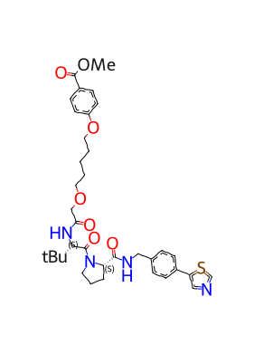 COC(=O)c1ccc(OCCCCCOCC(=O)N[C@H](C(=O)N2CCC[C@H]2C(=O)NCc2ccc(-c3cncs3)cc2)C(C)(C)C)cc1